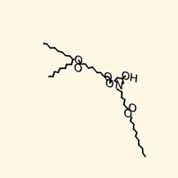 CCCCCCCCCCCOC(=O)CCCCCN1CC(O)C[C@H]1C(=O)OCCCCCCC(=O)OC(CCCCCCCC)CCCCCCCC